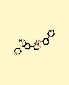 Nc1cc(-c2ccnc(Nc3cccc(-c4ccncc4)c3)n2)ccc1OC1CCOCC1